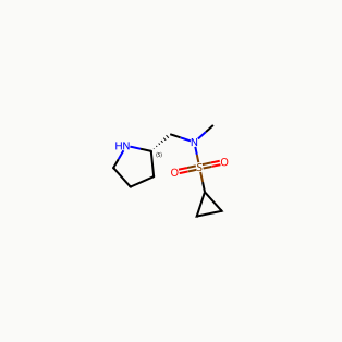 CN(C[C@@H]1CCCN1)S(=O)(=O)C1CC1